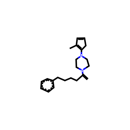 C=C(CCCCc1ccccc1)N1CCN(C2=C(C)C=CC2)CC1